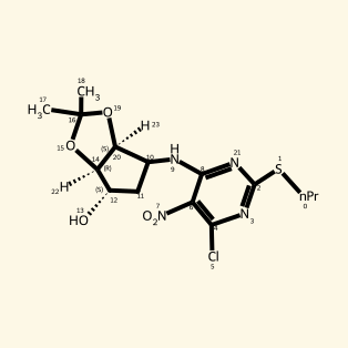 CCCSc1nc(Cl)c([N+](=O)[O-])c(NC2C[C@H](O)[C@H]3OC(C)(C)O[C@@H]23)n1